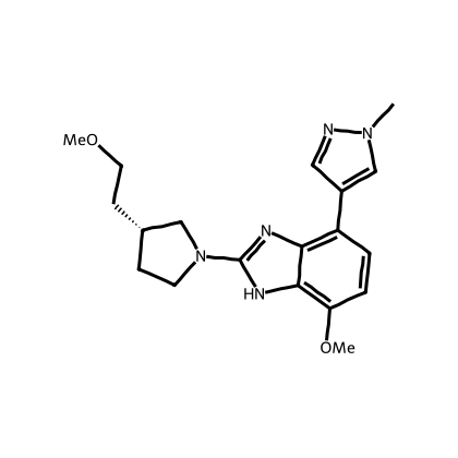 COCC[C@H]1CCN(c2nc3c(-c4cnn(C)c4)ccc(OC)c3[nH]2)C1